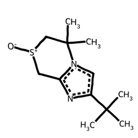 CC(C)(C)c1cn2c(n1)C[S+]([O-])CC2(C)C